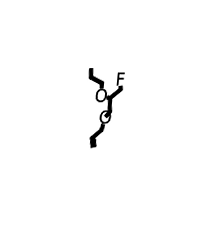 C=CCOCC(CF)OCCC